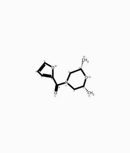 C[C@@H]1CN(C(=O)c2ccco2)C[C@H](C)O1